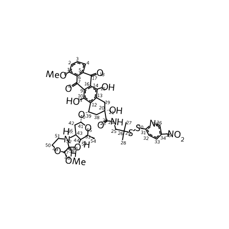 COc1cccc2c1C(=O)c1c(O)c3c(c(O)c1C2=O)C[C@@](O)(C(=O)NCC(C)(C)SSc1ccc([N+](=O)[O-])cn1)C[C@@H]3O[C@H]1C[C@H]2[C@H](O[C@@H]3[C@@H](OC)OCCN32)[C@H](C)O1